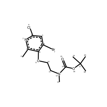 Cc1nc(Cl)cc(Br)c1OCCN(C)C(=O)OC(C)(C)C